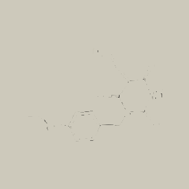 C=C=C1C(=O)NC(=O)N(Cc2ccc(OC)cc2)C1=O